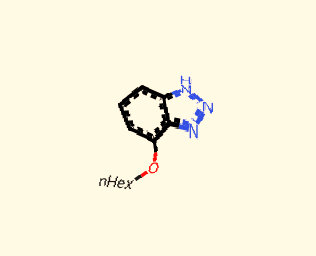 CCCCCCOc1cccc2[nH]nnc12